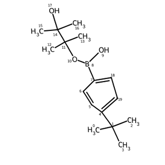 CC(C)(C)c1ccc(B(O)OC(C)(C)C(C)(C)O)cc1